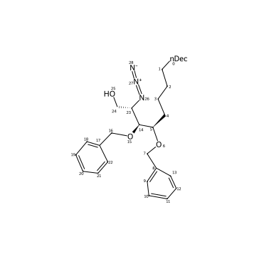 CCCCCCCCCCCCCC[C@@H](OCc1ccccc1)[C@@H](OCc1ccccc1)[C@H](CO)N=[N+]=[N-]